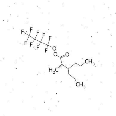 C=C(C(=O)OOC(F)(F)C(F)(F)C(F)(F)C(F)(F)F)C(CCC)CCC